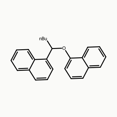 C[CH]CCC(Oc1cccc2ccccc12)c1cccc2ccccc12